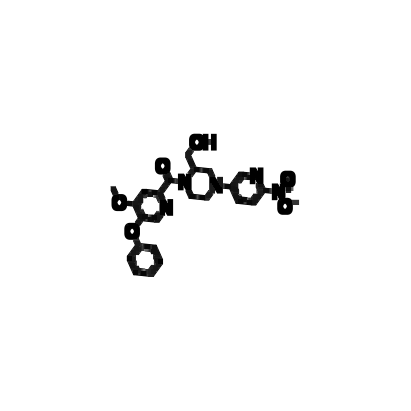 COc1cc(C(=O)N2CCN(c3ccc([N+](=O)[O-])nc3)CC2CO)ncc1Oc1ccccc1